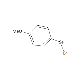 COc1ccc([Se]Br)cc1